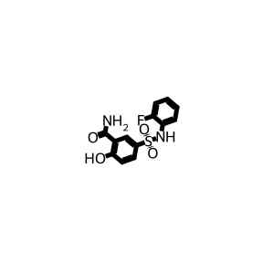 NC(=O)c1cc(S(=O)(=O)Nc2ccccc2F)ccc1O